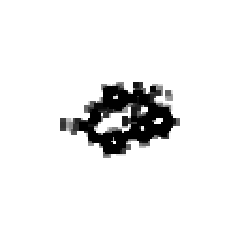 CCOC(=O)CN(C)Cc1cnc(-c2cc3cccc(N(C)S(=O)(=O)c4cccs4)c3[nH]2)s1